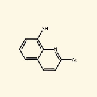 CC(=O)c1ccc2cccc(S)c2n1